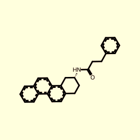 O=C(CCc1ccccc1)N[C@@H]1CCc2ccc3c(ccc4ccccc43)c2C1